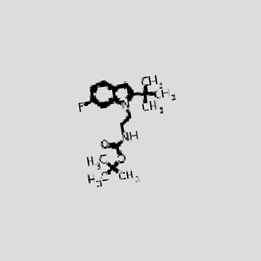 CC(C)(C)OC(=O)NCCn1c(C(C)(C)C)cc2ccc(F)cc21